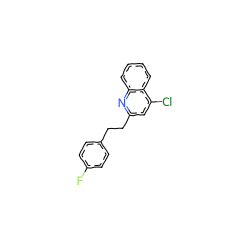 Fc1ccc(CCc2cc(Cl)c3ccccc3n2)cc1